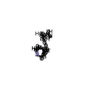 CNN(C)Cc1cc2ccccc2n1CCC(=O)N[C@@H](CCS(=O)(=O)O)C(=O)NCCOCCOCCC(=O)N(C)[C@@H](C)C(=O)O[C@H]1CC(=O)N(C)c2cc(cc(OC)c2Cl)C/C(C)=C/C=C/[C@@H](OC)[C@@]2(O)C[C@H](OC(=O)N2)[C@@H](C)C2O[C@]21C